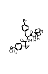 COc1ccc(C2(C(=O)NC(Cc3ccc(Br)cc3)C(=O)N[C@H]3CN4CCC3CC4)CC2)cc1